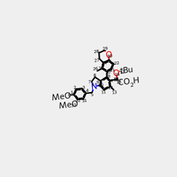 COc1ccc(CN2CCc3c2cc(C)c([C@H](OC(C)(C)C)C(=O)O)c3-c2ccc3c(c2C)CCCO3)cc1OC